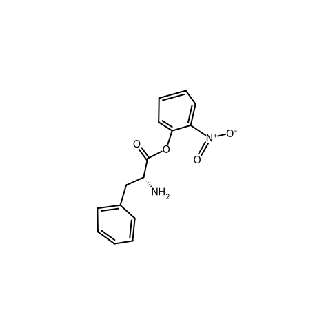 N[C@H](Cc1ccccc1)C(=O)Oc1ccccc1[N+](=O)[O-]